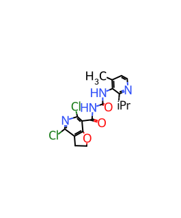 Cc1ccnc(C(C)C)c1NC(=O)NC(=O)c1c(Cl)nc(Cl)c2c1OCC2